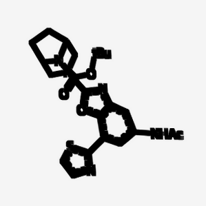 CC(=O)Nc1cc(-c2nccs2)c2oc(N3CC4CCC(C3)N4C(=O)OC(C)(C)C)nc2c1